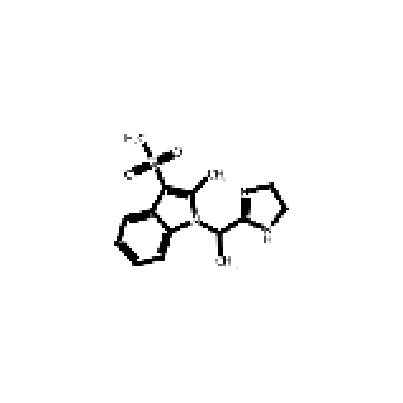 Cc1c(S(C)(=O)=O)c2ccccc2n1C(C)C1=NCCN1